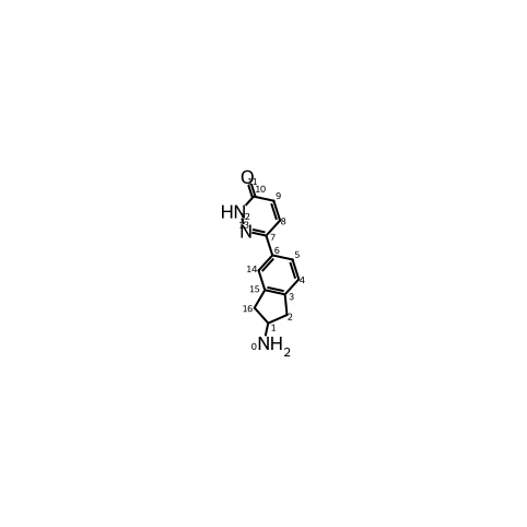 NC1Cc2ccc(-c3ccc(=O)[nH]n3)cc2C1